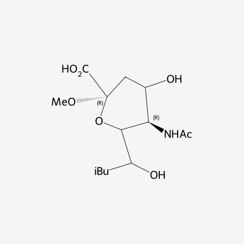 CCC(C)C(O)C1O[C@@](OC)(C(=O)O)CC(O)[C@H]1NC(C)=O